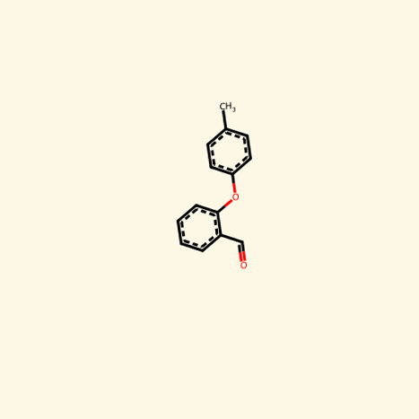 Cc1ccc(Oc2ccccc2C=O)cc1